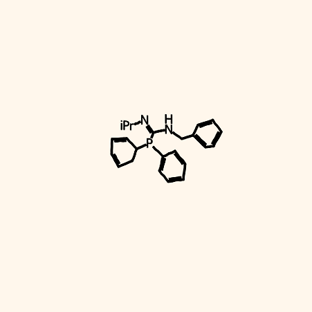 CC(C)/N=C(/NCc1ccccc1)P(c1ccccc1)C1C=CC=CC1